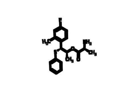 Cc1cc(F)ccc1[C@@H](Sc1ccccc1)[C@H](C)OC(=O)[C@H](C)N